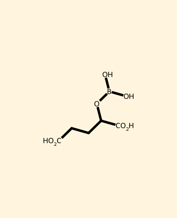 O=C(O)CCC(OB(O)O)C(=O)O